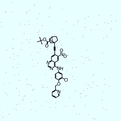 CC(C)(C)OC(=O)N1C2CCC1(C#Cc1cc3ncnc(Nc4ccc(OCc5ccccn5)c(Cl)c4)c3cc1[N+](=O)[O-])CC2